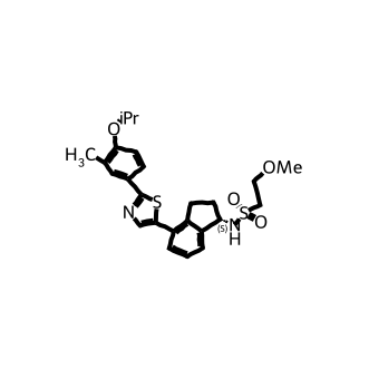 COCCS(=O)(=O)N[C@H]1CCc2c(-c3cnc(-c4ccc(OC(C)C)c(C)c4)s3)cccc21